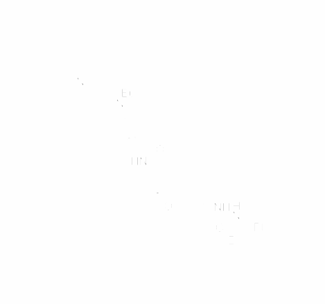 CCC(CC)NC(=O)Nc1ccc(Oc2ccc(NC(=O)c3ccc(N(CC)CCCN4CCCCC4)cc3)cc2C)cc1